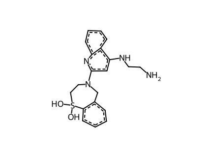 NCCNc1cc(N2CCS(O)(O)c3ccccc3C2)nc2ccccc12